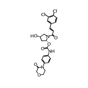 O=C(Nc1ccc(N2CCOCC2=O)cc1)O[C@@H]1C[C@@H](O)CN1C(=O)/C=C/c1ccc(Cl)c(Cl)c1